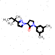 CCC(C)(C)c1ccn(C2CCN(c3cc(C)cc(C)c3)C2=O)n1